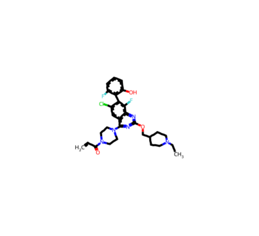 C=CC(=O)N1CCN(c2nc(OCC3CCN(CC)CC3)nc3c(F)c(-c4c(O)cccc4F)c(Cl)cc23)CC1